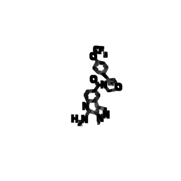 Cn1ncc2c3cc(C(=O)N4CCOC[C@@H]4c4ccc(OC(F)(F)F)cc4)ccc3nc(N)c21